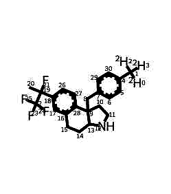 [2H]C([2H])([2H])c1ccc(CC23CCNC2CCc2cc(C(C)(F)C(F)(F)F)ccc23)cc1